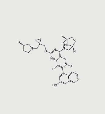 C[C@]12CC[C@H](CN(c3nc(OCC4(CN5CC[C@@H](F)C5)CC4)nc4c(F)c(-c5cc(O)cc6ccccc56)c(F)cc34)C1)N2